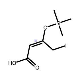 C[Si](C)(C)O/C(=C/C(=O)O)CI